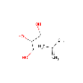 C=C(C)C.OCC(O)CO